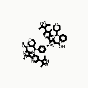 COC(=O)c1nn(C)c2c3ncc(-c4c(C)noc4C)cc3n([C@H](c3ccccc3)C3CCOCC3)c12.Cc1noc(C)c1-c1cnc2c3c(c(C(=O)O)nn3C)n([C@H](c3ccccc3)C3CCOCC3)c2c1C